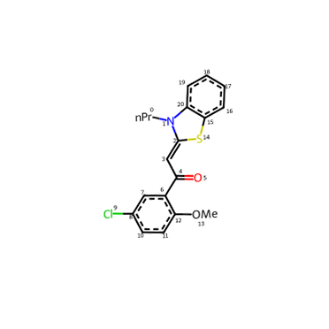 CCCN1/C(=C/C(=O)c2cc(Cl)ccc2OC)Sc2ccccc21